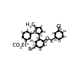 CCOC(=O)c1cccc(-n2c(C)ccc2-c2cc(Br)ccc2OCc2cccc(Cl)c2)c1